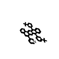 CC(C)(C)c1cccc(-c2c3ccccc3c(-c3cccc(C(C)(C)C)c3)c3cc4c(cc23)c(-c2cccnc2)cc2ccccc24)c1